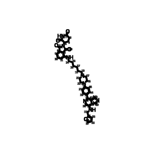 O=C1CCC(N2C(=O)c3cccc(NCCCCCCN4CCN(c5ccc(-c6ncc(NCc7ccco7)n7cnnc67)cc5)CC4)c3C2=O)C(=O)N1